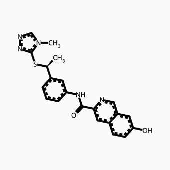 C[C@H](Sc1nncn1C)c1cccc(NC(=O)c2cc3ccc(O)cc3cn2)c1